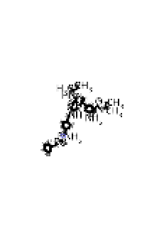 CC[C@@H](C)NC(=O)c1cc(N)cc(-c2cnc(N[C@@H](C)CC)c(=O)n2CC(=O)NCc2ccc(/C(N)=N/C(=O)OCc3ccccc3)cc2)c1